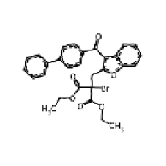 CCOC(=O)C(Br)(Cc1oc2ccccc2c1C(=O)c1ccc(-c2ccccc2)cc1)C(=O)OCC